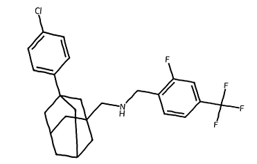 Fc1cc(C(F)(F)F)ccc1CNCC12CC3CC(C1)CC(c1ccc(Cl)cc1)(C3)C2